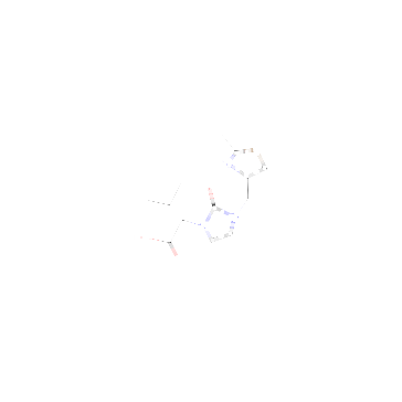 Cc1nc(Cn2ccn([C@H](C(=O)O)C(C)C)c2=O)cs1